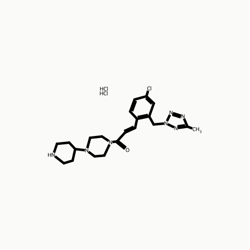 Cc1nnn(Cc2cc(Cl)ccc2/C=C/C(=O)N2CCN(C3CCNCC3)CC2)n1.Cl.Cl